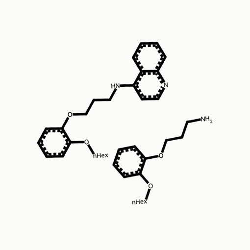 CCCCCCOc1ccccc1OCCCN.CCCCCCOc1ccccc1OCCCNc1ccnc2ccccc12